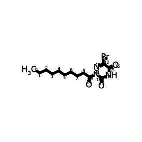 CCCCCCCCCC(=O)n1nc(Br)c(=O)[nH]c1=O